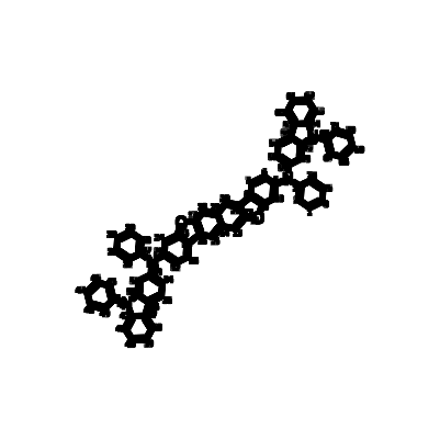 c1ccc(N(c2ccc3c(c2)oc2cc4cc5c(cc4cc23)oc2cc(N(c3ccccc3)c3ccc4c6ccccc6n(-c6ccccc6)c4c3)ccc25)c2ccc3c4ccccc4n(-c4ccccc4)c3c2)cc1